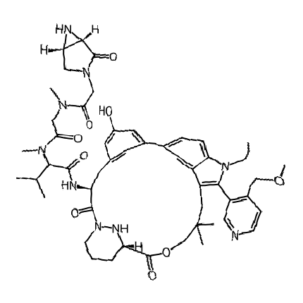 CCn1c(-c2cnccc2COC)c2c3cc(ccc31)-c1cc(O)cc(c1)C[C@H](NC(=O)C(C(C)C)N(C)C(=O)CN(C)C(=O)CN1C[C@@H]3N[C@@H]3C1=O)C(=O)N1CCC[C@H](N1)C(=O)OCC(C)(C)C2